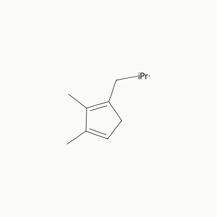 C[C](C)CC1=C(C)C(C)=CC1